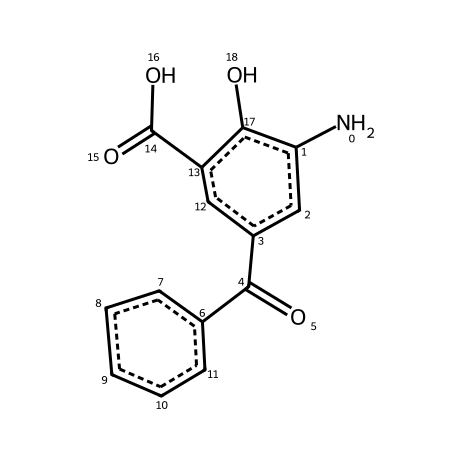 Nc1cc(C(=O)c2ccccc2)cc(C(=O)O)c1O